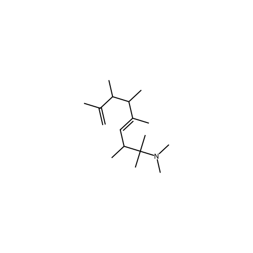 C=C(C)C(C)C(C)/C(C)=C/C(C)C(C)(C)N(C)C